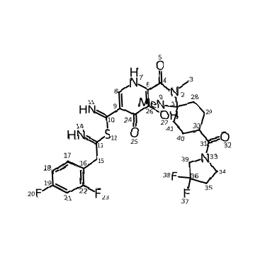 CNC1(N(C)C(=O)c2[nH]cc(C(=N)SC(=N)Cc3ccc(F)cc3F)c(=O)c2O)CCC(C(=O)N2CCC(F)(F)C2)CC1